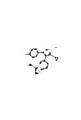 N#Cc1cnc2ccc(-c3c(-c4ccc(Cl)cc4)nn(SF)c3C3CC3)cn12